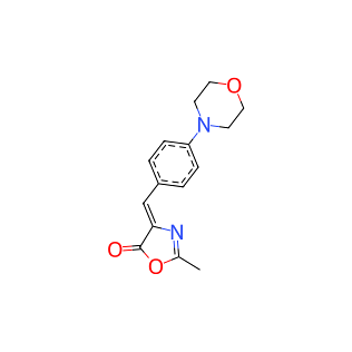 CC1=N/C(=C\c2ccc(N3CCOCC3)cc2)C(=O)O1